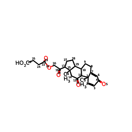 CC12C=CC(=O)C=C1CCC1C2C(=O)CC2(C)C(C(=O)COC(=O)CCC(=O)O)CCC12